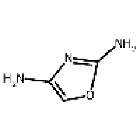 Nc1coc(N)n1